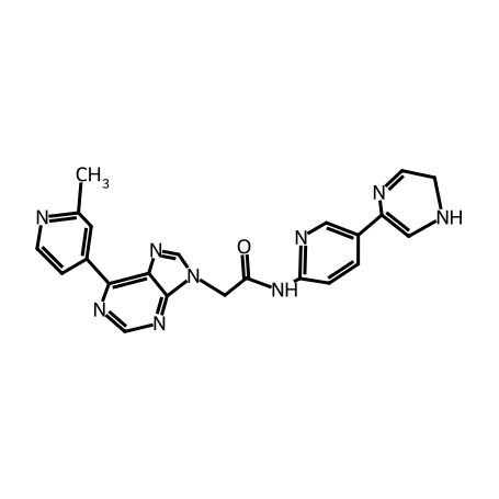 Cc1cc(-c2ncnc3c2ncn3CC(=O)Nc2ccc(C3=CNCC=N3)cn2)ccn1